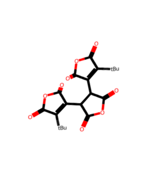 CC(C)(C)C1=C(C2C(=O)OC(=O)C2C2=C(C(C)(C)C)C(=O)OC2=O)C(=O)OC1=O